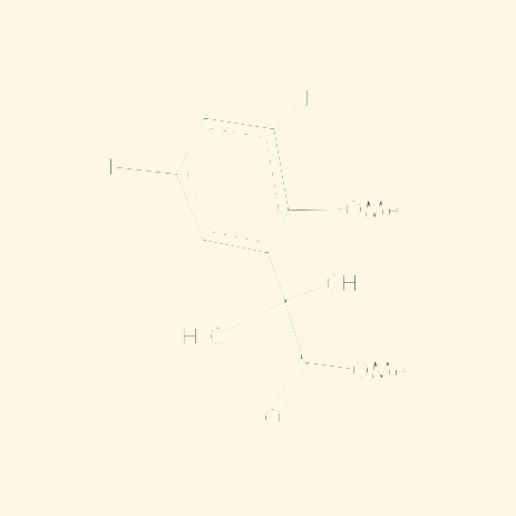 COC(=O)C(C)(C)c1cc(I)cc(I)c1OC